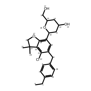 CCc1ccc(Cc2cc(C3CC(O)CC(CO)O3)c3c(c2Cl)C(C)(C)CO3)cc1